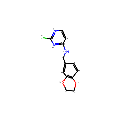 Clc1nccc(NCc2ccc3c(c2)OCCO3)n1